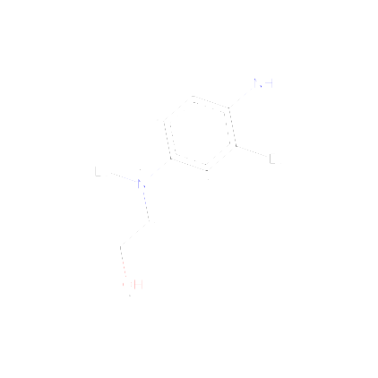 CCc1cc(N(CC)CCO)ccc1N